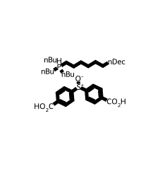 CCCCCCCCCCCCCCCC[PH](CCCC)(CCCC)CCCC.O=C(O)c1ccc([S+]([O-])c2ccc(C(=O)O)cc2)cc1